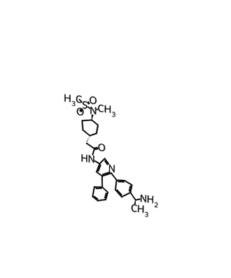 C[C@H](N)c1ccc(-c2ncc(NC(=O)C[C@H]3CC[C@H](N(C)S(C)(=O)=O)CC3)cc2-c2ccccc2)cc1